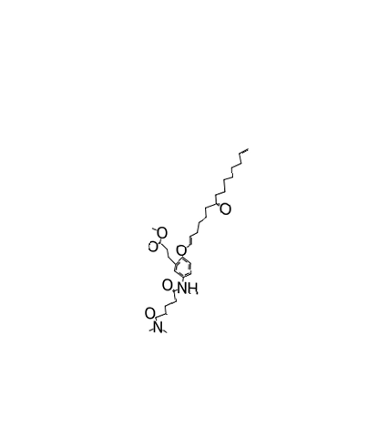 CCCCCCCCC(=O)CCCCC=COc1ccc(NC(=O)CCCC(=O)N(C)C)cc1CCC(=O)OC